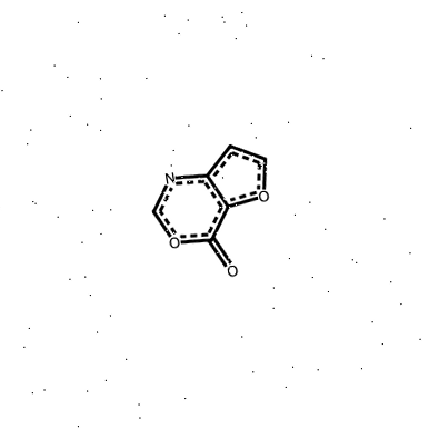 O=c1ocnc2ccoc12